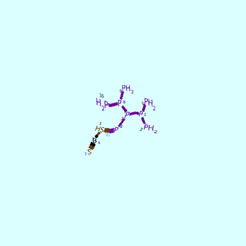 PP(P)P(/P=[SH]/B=S)P(P)P